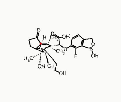 C[C@@H]1CC[C@@]23CCC(=O)[C@H]2[C@@]1(C)[C@H](C(Oc1ccc2c(c1F)B(O)OC2)C(=O)O)C[C@](C)(CCO)[C@@H](O)[C@@H]3C